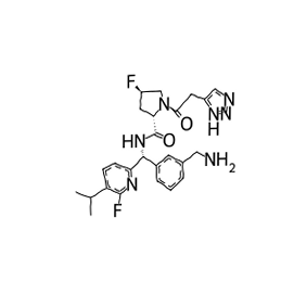 CC(C)c1ccc([C@H](NC(=O)[C@@H]2C[C@@H](F)CN2C(=O)Cc2cnn[nH]2)c2cccc(CN)c2)nc1F